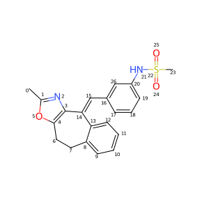 Cc1nc2c(o1)CCc1ccccc1/C2=C\c1cccc(NS(C)(=O)=O)c1